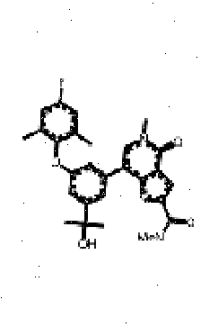 CNC(=O)c1cc2c(=O)n(C)cc(-c3cc(Oc4c(C)cc(F)cc4C)cc(C(C)(C)O)c3)c2s1